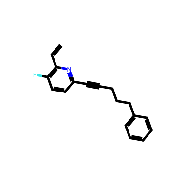 C=Cc1nc(C#CCCCc2ccccc2)ccc1F